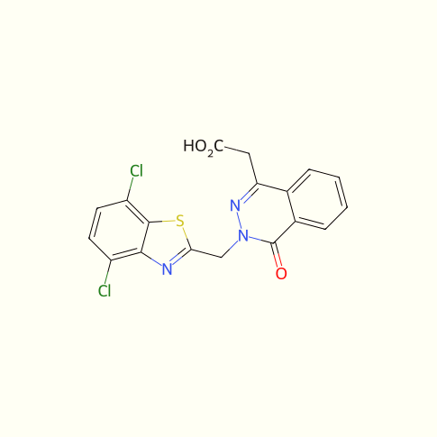 O=C(O)Cc1nn(Cc2nc3c(Cl)ccc(Cl)c3s2)c(=O)c2ccccc12